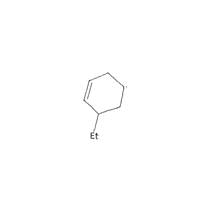 CCC1C=CC[CH]C1